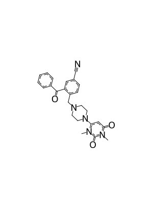 Cn1c(N2CCN(Cc3ccc(C#N)cc3C(=O)c3ccccc3)CC2)cc(=O)n(C)c1=O